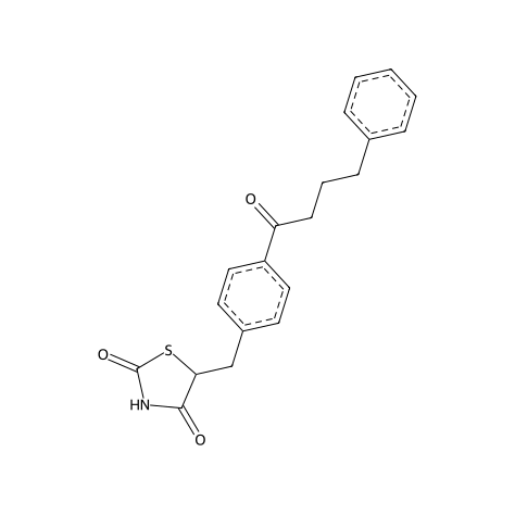 O=C1NC(=O)C(Cc2ccc(C(=O)CCCc3ccccc3)cc2)S1